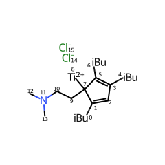 CCC(C)C1=CC(C(C)CC)=C(C(C)CC)[C]1([Ti+2])CCN(C)C.[Cl-].[Cl-]